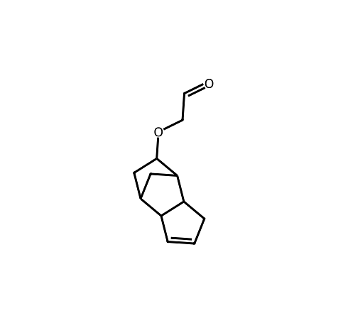 O=CCOC1CC2CC1C1CC=CC21